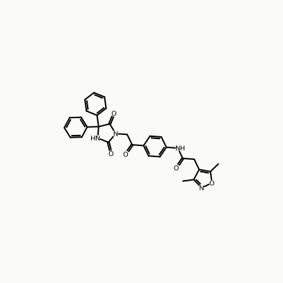 Cc1noc(C)c1CC(=O)Nc1ccc(C(=O)CN2C(=O)NC(c3ccccc3)(c3ccccc3)C2=O)cc1